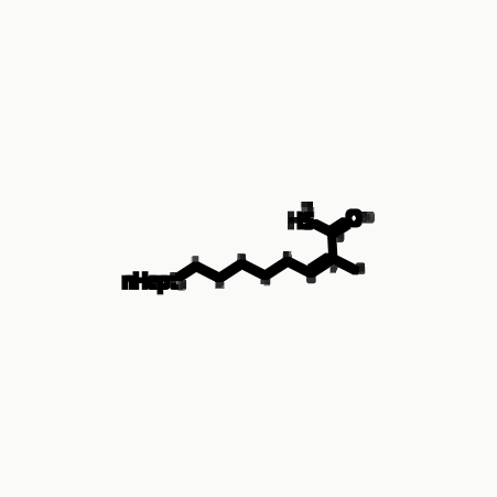 CCCCCCCCCCCCC=C(C)C(=O)S